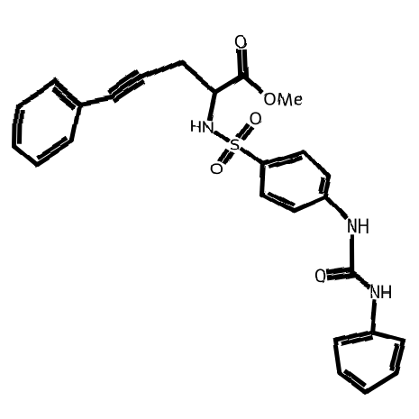 COC(=O)C(CC#Cc1ccccc1)NS(=O)(=O)c1ccc(NC(=O)Nc2ccccc2)cc1